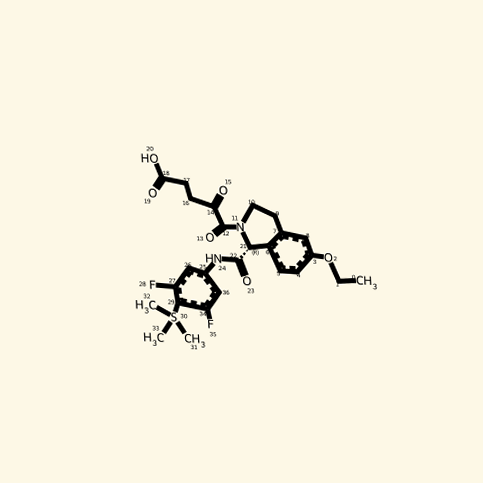 CCOc1ccc2c(c1)CCN(C(=O)C(=O)CCC(=O)O)[C@H]2C(=O)Nc1cc(F)c(S(C)(C)C)c(F)c1